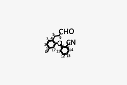 Cc1ccc(CCC=O)c(Oc2ccccc2C#N)c1